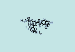 CC(C)C(OC(N)=O)C(=O)NC(CCCNC(N)=O)C(=O)Nc1ccc(CO)c([N+](=O)[O-])c1